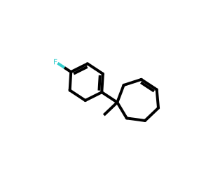 CC1(C2=CC=C(F)CC2)CC=CCCC1